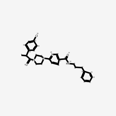 CC(C(=O)N1CCN(c2ccc(C(=O)NCCCc3ccccc3)cn2)CC1)c1ccc(Cl)cc1